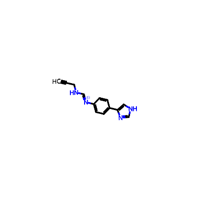 C#CCN/C=N/c1ccc(-c2c[nH]cn2)cc1